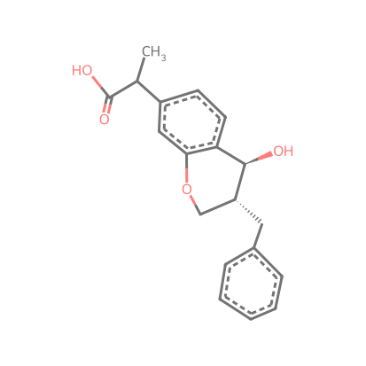 CC(C(=O)O)c1ccc2c(c1)OC[C@@H](Cc1ccccc1)[C@@H]2O